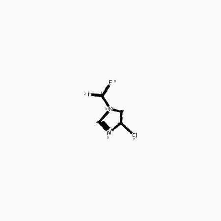 FC(F)N1[C]=NC(Cl)[CH]1